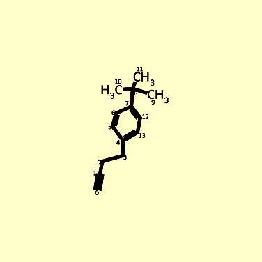 [C]#CCCc1ccc(C(C)(C)C)cc1